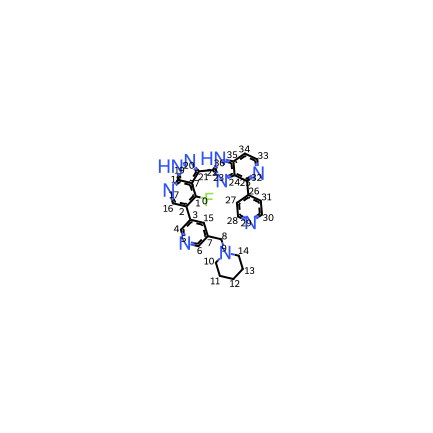 Fc1c(-c2cncc(CN3CCCCC3)c2)cnc2[nH]nc(-c3nc4c(-c5ccncc5)nccc4[nH]3)c12